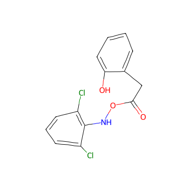 O=C(Cc1ccccc1O)ONc1c(Cl)cccc1Cl